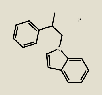 CC(C[c-]1ccc2ccccc21)c1ccccc1.[Li+]